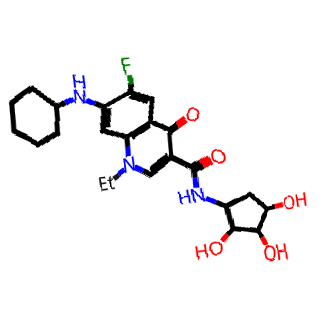 CCn1cc(C(=O)NC2CC(O)C(O)C2O)c(=O)c2cc(F)c(NC3CCCCC3)cc21